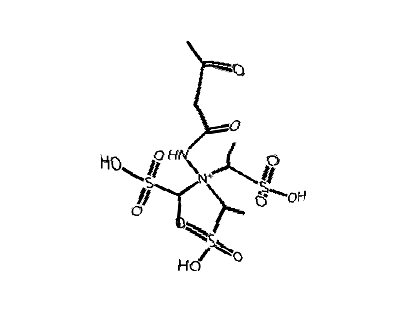 CC(=O)CC(=O)N[N+](C(C)S(=O)(=O)O)(C(C)S(=O)(=O)O)C(C)S(=O)(=O)O